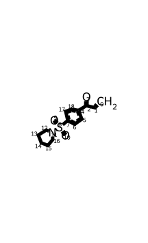 C=CC(=O)c1ccc(S(=O)(=O)N2CCCCC2)cc1